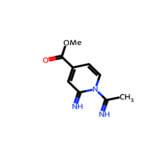 COC(=O)c1ccn(C(C)=N)c(=N)c1